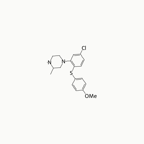 COc1ccc(Sc2ccc(Cl)cc2N2CC[N]C(C)C2)cc1